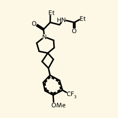 CCC(=O)NCC(CC)C(=O)N1CCC2(CC1)CC(c1ccc(OC)c(C(F)(F)F)c1)C2